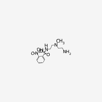 CN(CCN)CCNS(=O)(=O)c1ccccc1[N+](=O)O